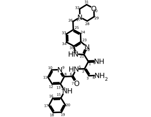 N=C(/C(=C\N)NC(=O)c1ncccc1Nc1ccccc1)c1nc2cc(CN3CCOCC3)ccc2[nH]1